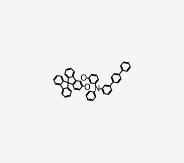 c1ccc(-c2ccc(-c3cccc(N(c4ccccc4)c4cccc5c4Oc4ccc6c(c4O5)-c4ccccc4C64c5ccccc5-c5ccccc54)c3)cc2)cc1